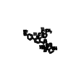 CC(C)Oc1ccc(-c2ccc(C(=O)NS(=O)(=O)c3ccc[nH]c3=O)c(N3CCC(C)C3(C)C)n2)cc1